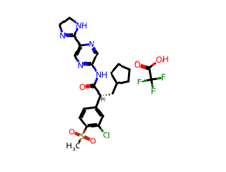 CS(=O)(=O)c1ccc([C@@H](CC2CCCC2)C(=O)Nc2cnc(C3=NCCN3)cn2)cc1Cl.O=C(O)C(F)(F)F